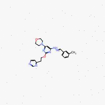 Cc1cccc(/C=N/Nc2cc(N3CCOCC3)nc(OCCc3ccncn3)n2)c1